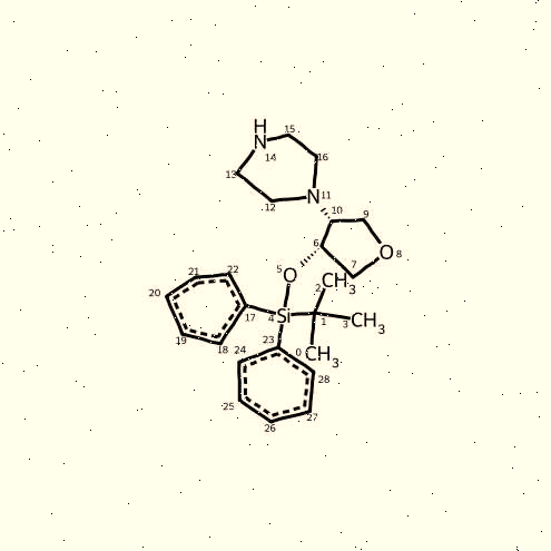 CC(C)(C)[Si](O[C@H]1COC[C@H]1N1CCNCC1)(c1ccccc1)c1ccccc1